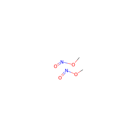 CON=O.CON=O